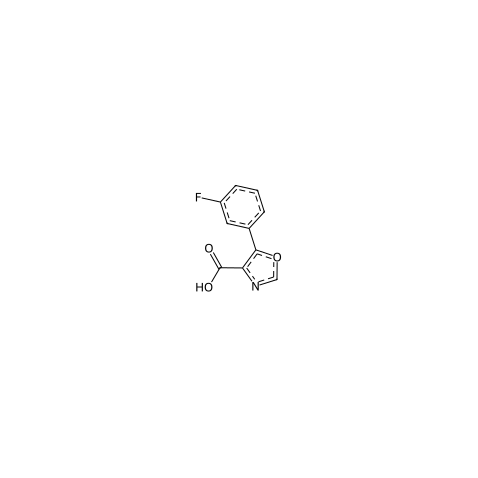 O=C(O)c1ncoc1-c1cccc(F)c1